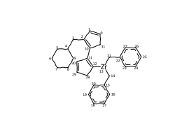 C1=CC(CC2CCCCC2)=C(C2=[C]([Zr]([CH2]c3ccccc3)[CH2]c3ccccc3)CC=C2)C1